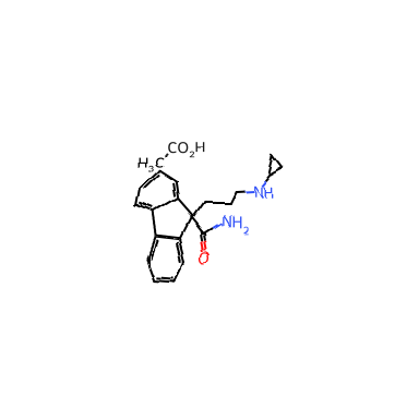 CC(=O)O.NC(=O)C1(CCCNC2CC2)c2ccccc2-c2ccccc21